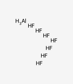 F.F.F.F.F.F.F.[AlH3]